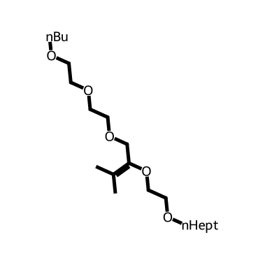 CCCCCCCOCCOC(COCCOCCOCCCC)=C(C)C